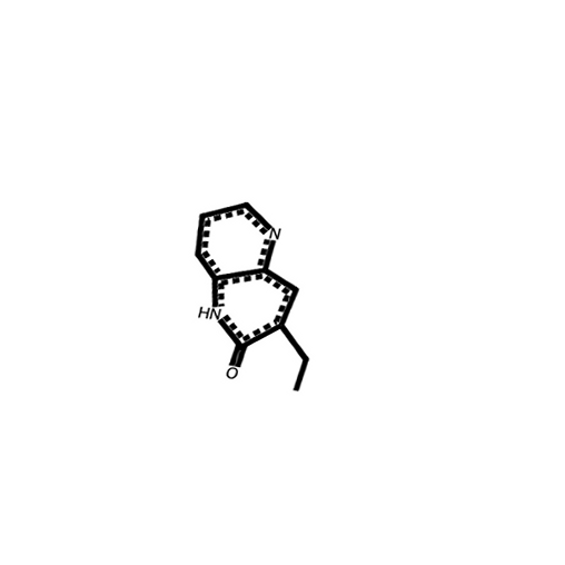 CCc1cc2ncccc2[nH]c1=O